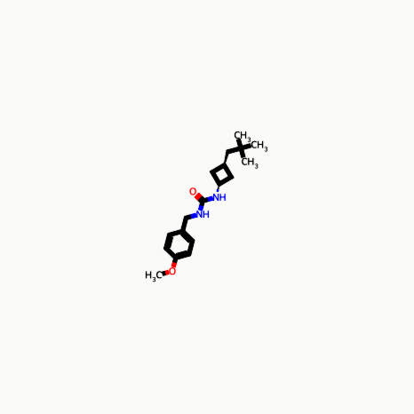 COc1ccc(CNC(=O)N[C@H]2C[C@H](CC(C)(C)C)C2)cc1